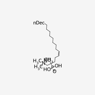 CCCCCCCCCCCCCCCCCC/C=C\CCC(O)(C[N+](C)(C)C)P(=O)(O)O